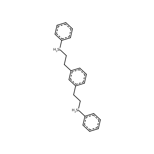 c1ccc([SiH2]CCc2cccc(CC[SiH2]c3ccccc3)c2)cc1